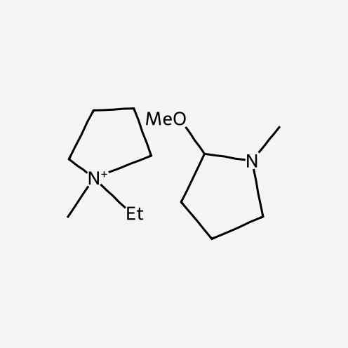 CC[N+]1(C)CCCC1.COC1CCCN1C